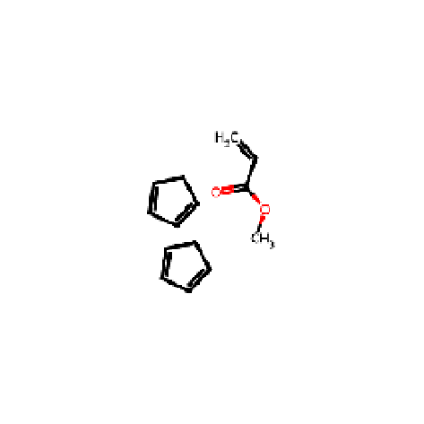 C1=CCC=C1.C1=CCC=C1.C=CC(=O)OC